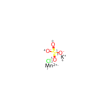 O=S(=O)([O-])[O-].[Cl-].[K+].[Mn+2]